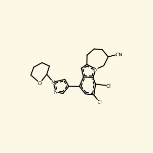 N#CC1CCCc2cc3c(-c4cnn(C5CCCCO5)c4)cc(Cl)c(Cl)c3n2C1